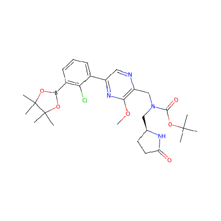 COc1nc(-c2cccc(B3OC(C)(C)C(C)(C)O3)c2Cl)cnc1CN(C[C@@H]1CCC(=O)N1)C(=O)OC(C)(C)C